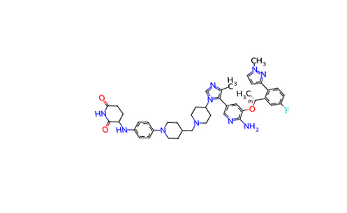 Cc1ncn(C2CCN(CC3CCN(c4ccc(NC5CCC(=O)NC5=O)cc4)CC3)CC2)c1-c1cnc(N)c(O[C@H](C)c2cc(F)ccc2-c2ccn(C)n2)c1